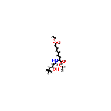 CCOC(=O)CCCCCCC(NCCC(O)CC(C)(C)C)C(=O)OCC